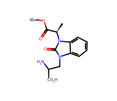 C[C@H](C(=O)OC(C)(C)C)n1c(=O)n(CC(N)C(=O)O)c2ccccc21